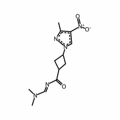 Cc1nn(C2CC(C(=O)/N=C/N(C)C)C2)cc1[N+](=O)[O-]